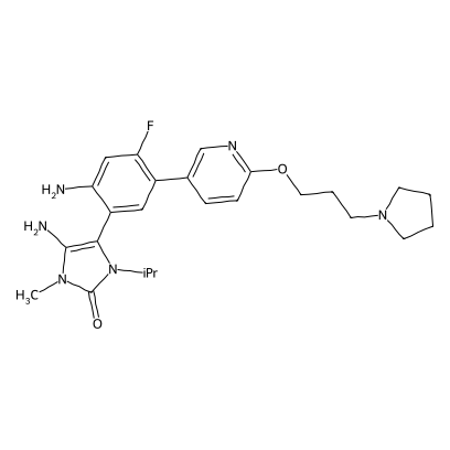 CC(C)n1c(-c2cc(-c3ccc(OCCCN4CCCC4)nc3)c(F)cc2N)c(N)n(C)c1=O